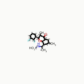 Cc1cc(C(C)NC(=O)O)c2oc(-c3cccc(F)c3F)c(C)c(=O)c2c1